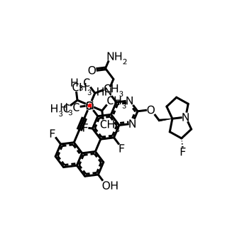 COc1c(F)c(-c2cc(O)cc3ccc(F)c(C#C[Si](C(C)C)(C(C)C)C(C)C)c23)c(F)c2nc(OC[C@@]34CCCN3C[C@H](F)C4)nc(NCC(N)=O)c12